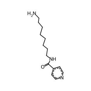 NCCCCCCCCNC(=O)c1ccncc1